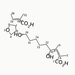 C1CCOC1.CC(C(=O)O)=C(C)C(O)CCCCCO.CC=C(C)C(=O)O